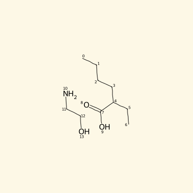 CCCCC(CC)C(=O)O.NCCO